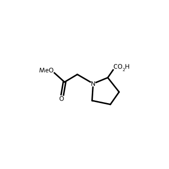 COC(=O)CN1CCCC1C(=O)O